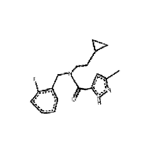 Cc1cc(C(=O)N(CCC2CC2)Cc2ccccc2F)[nH]n1